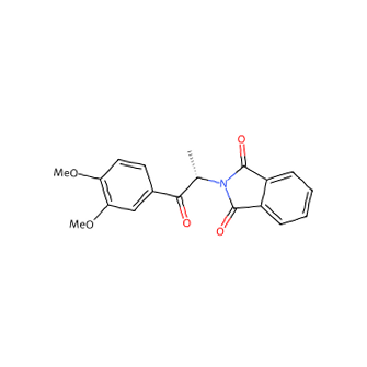 COc1ccc(C(=O)[C@H](C)N2C(=O)c3ccccc3C2=O)cc1OC